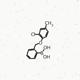 Cc1ccc(OCc2ccccc2B(O)O)c(Cl)c1